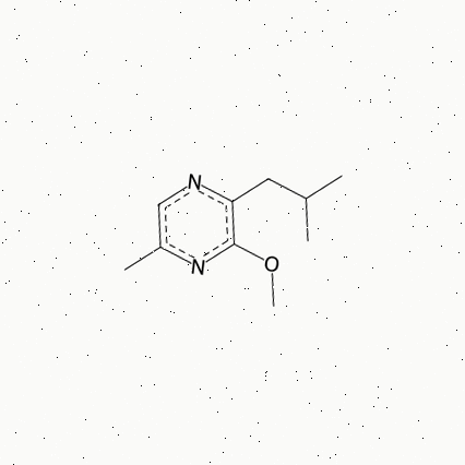 COc1nc(C)cnc1CC(C)C